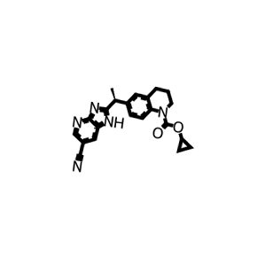 C[C@@H](c1ccc2c(c1)CCCN2C(=O)OC1CC1)c1nc2ncc(C#N)cc2[nH]1